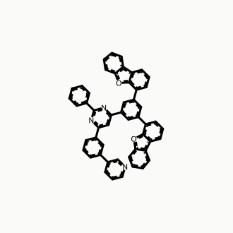 c1ccc(-c2nc(-c3cccc(-c4cccnc4)c3)cc(-c3cc(-c4cccc5c4oc4ccccc45)cc(-c4cccc5c4oc4ccccc45)c3)n2)cc1